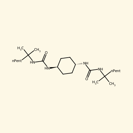 CCCCCC(C)(C)NC(=O)N[C@H]1CC[C@H](NC(=O)NC(C)(C)CCCCC)CC1